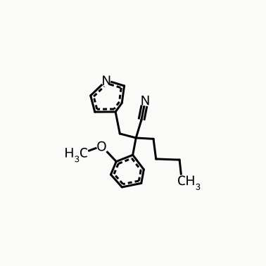 CCCCC(C#N)(Cc1ccncc1)c1ccccc1OC